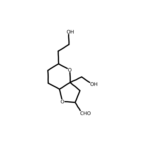 O=CC1CC2(CO)OC(CCO)CCC2O1